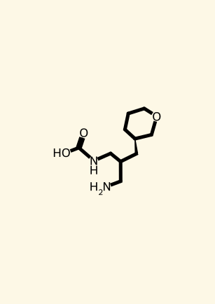 NCC(CNC(=O)O)C[C@H]1CCCOC1